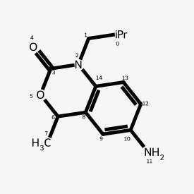 CC(C)CN1C(=O)OC(C)c2cc(N)ccc21